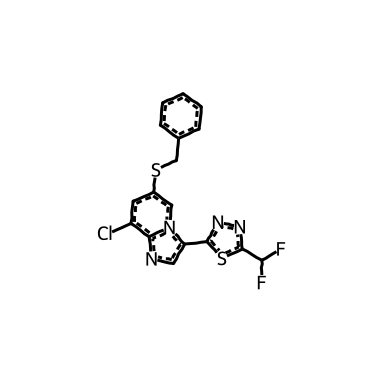 FC(F)c1nnc(-c2cnc3c(Cl)cc(SCc4ccccc4)cn23)s1